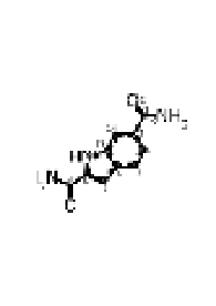 NC(=O)c1ccc2cc(C(N)=O)[nH]c2c1